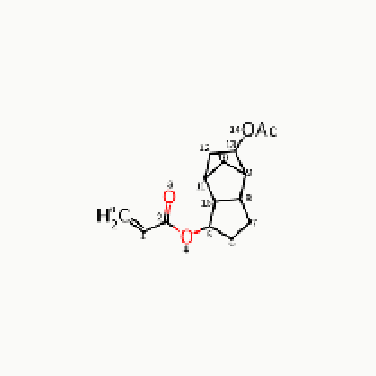 C=CC(=O)OC1CCC2C3CC(CC3OC(C)=O)C12